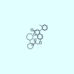 Cc1ccccc1-c1cc(=O)oc2cc(O[C@H](C)C(=O)N3CCCCC3C3CCCCCC3)ccc12